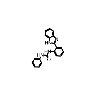 O=C(Nc1ccccc1)Nc1ccccc1-c1nc2ccccc2[nH]1